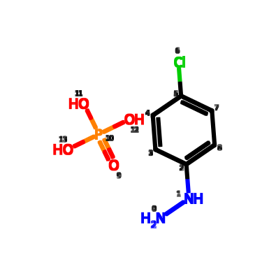 NNc1ccc(Cl)cc1.O=P(O)(O)O